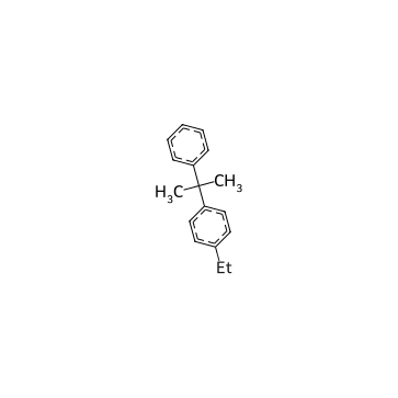 [CH2]Cc1ccc(C(C)(C)c2ccccc2)cc1